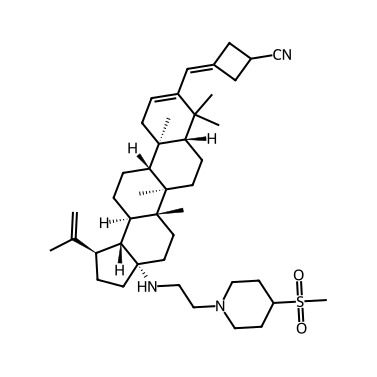 C=C(C)[C@@H]1CC[C@]2(NCCN3CCC(S(C)(=O)=O)CC3)CC[C@]3(C)[C@H](CC[C@@H]4[C@@]5(C)CC=C(C=C6CC(C#N)C6)C(C)(C)[C@@H]5CC[C@]43C)[C@@H]12